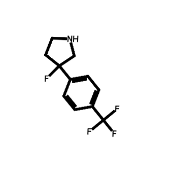 FC(F)(F)c1ccc(C2(F)CCNC2)cc1